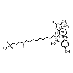 C=C1[C@H](O)C[C@H]2[C@@H]3[C@H](CCCCCCCCC[S+]([O-])CCCC(F)(F)C(F)(F)F)[C@@H](O)c4cc(O)ccc4[C@H]3CC[C@]12C